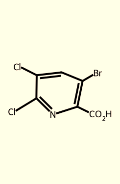 O=C(O)c1nc(Cl)c(Cl)cc1Br